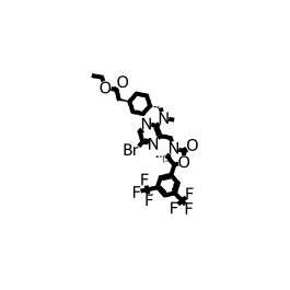 CCOC(=O)C[C@H]1CC[C@H](CN(C)c2ncc(Br)nc2CN2C(=O)OC(c3cc(C(F)(F)F)cc(C(F)(F)F)c3)[C@@H]2C)CC1